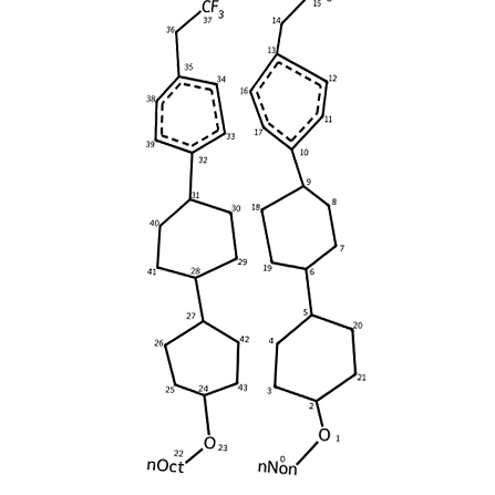 CCCCCCCCCOC1CCC(C2CCC(c3ccc(CC(F)(F)F)cc3)CC2)CC1.CCCCCCCCOC1CCC(C2CCC(c3ccc(CC(F)(F)F)cc3)CC2)CC1